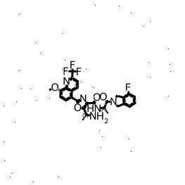 COc1ccc(-c2nc(C(=O)N[C@H](C)C(=O)N3Cc4cccc(F)c4C3)c([C@H](C)N)o2)c2ccc(C(F)(F)F)nc12